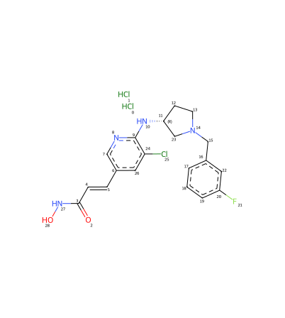 Cl.Cl.O=C(C=Cc1cnc(N[C@@H]2CCN(Cc3cccc(F)c3)C2)c(Cl)c1)NO